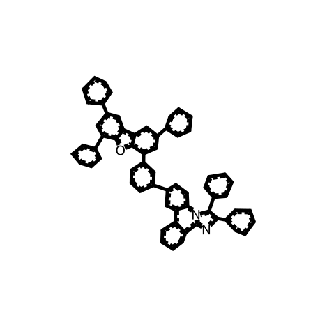 c1ccc(-c2cc(-c3ccccc3)c3oc4c(-c5cccc(-c6ccc7c(c6)c6ccccc6c6nc(-c8ccccc8)c(-c8ccccc8)n76)c5)cc(-c5ccccc5)cc4c3c2)cc1